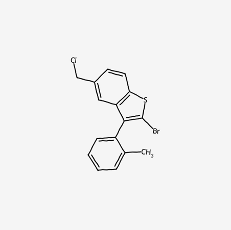 Cc1ccccc1-c1c(Br)sc2ccc(CCl)cc12